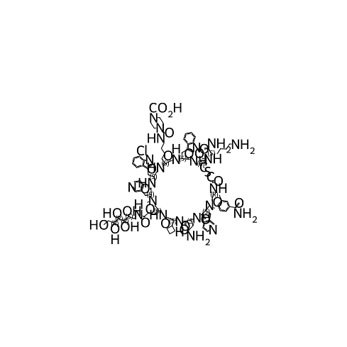 CN1C(=O)[C@H](CCC(=O)NC[C@H](O)[C@@H](O)[C@H](O)[C@H](O)CO)NC(=O)[C@H](C2CCC2)NC(=O)[C@H](CC(N)=O)NC(=O)[C@H](Cc2cccnc2)N(C)C(=O)[C@@H](Cc2cccc(C(N)=O)c2)NC(=O)CSC[C@@H](C(=O)N[C@@H](CCCCN)C(N)=O)NC(=O)[C@H](Cc2cn(C)c3ccccc23)NC(=O)[C@H](CCCCNC(=O)N2CCN(CC(=O)O)CC2)NC(=O)[C@H](Cc2cn(C)c3c(Cl)cccc23)NC(=O)[C@@H]1Cc1cccnc1